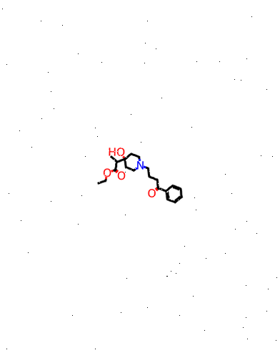 CCOC(=O)C(C)C1(O)CCN(CCCC(=O)c2ccccc2)CC1